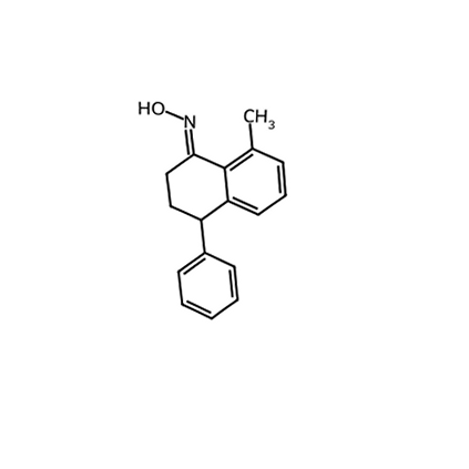 Cc1cccc2c1C(=NO)CCC2c1ccccc1